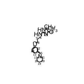 CC1(C)NC(NCCCOc2cccc(CN3CCCCC3)c2)=NC1=O